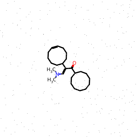 CN(C)/C=C(/C(=O)C1CCCCCCCCC1)C1CCC/C=C\CCCC1